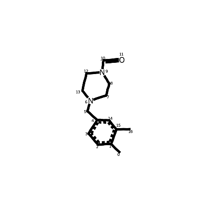 Cc1ccc(CN2CCN([C]=O)CC2)cc1C